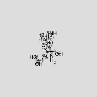 CCOC[C@]1(N)CN(S(=O)(=O)N(CC(C)(C)C)C2CNC2)C[C@@H]1CCCB(O)O